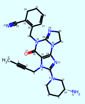 CC#CCn1c(N2CCC[C@@H](N)C2)nc2c1C(=O)N(CC1=C(C#N)CCC=C1)C1=NCCN12